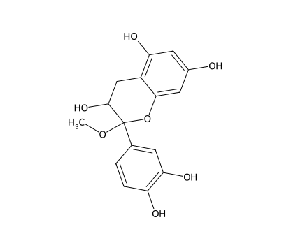 COC1(c2ccc(O)c(O)c2)Oc2cc(O)cc(O)c2CC1O